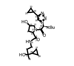 CC(O)(CCNC(=O)C1CC(O)CN1C(=O)[C@@H](n1cc(C2CC2)nn1)C(C)(C)C)C1CC1